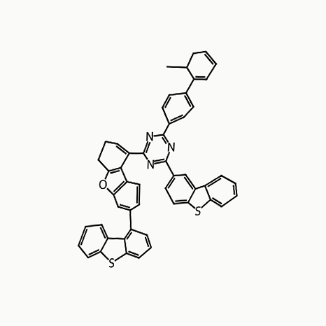 CC1CC=CC=C1c1ccc(-c2nc(C3=CCCc4oc5cc(-c6cccc7sc8ccccc8c67)ccc5c43)nc(-c3ccc4sc5ccccc5c4c3)n2)cc1